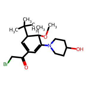 CO[C@@]1(C)C(N2CCC(O)CC2)=CC(C(=O)CBr)=CC1C(C)(C)C